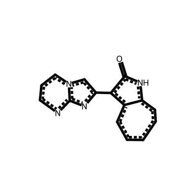 O=c1[nH]c2cccccc-2c1-c1cn2cccnc2n1